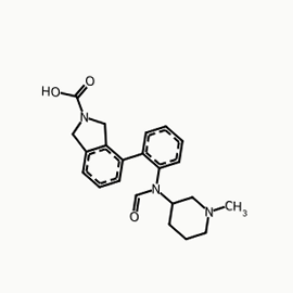 CN1CCCC(N(C=O)c2ccccc2-c2cccc3c2CN(C(=O)O)C3)C1